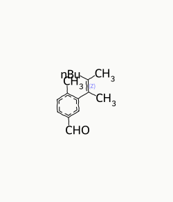 CCCC/C(C)=C(/C)c1cc(C=O)ccc1C